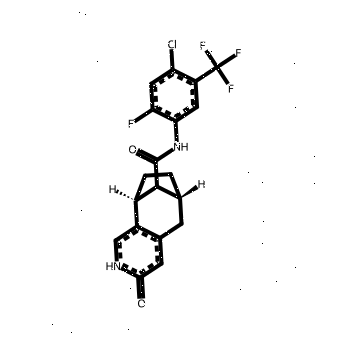 O=C(Nc1cc(C(F)(F)F)c(Cl)cc1F)C1[C@@H]2CC[C@@H]1c1c[nH]c(=O)cc1C2